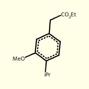 CCOC(=O)Cc1ccc(C(C)C)c(OC)c1